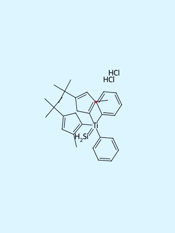 CC1=[C]([Ti](=[SiH2])([C]2=C(C)C=C(C(C)(C)C)C2)([c]2ccccc2)[c]2ccccc2)CC(C(C)(C)C)=C1.Cl.Cl